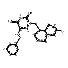 O=c1[nH]c(=O)n(Cc2cccc3cc(Br)ccc23)nc1OCc1ccccc1